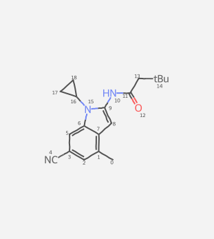 Cc1cc(C#N)cc2c1cc(NC(=O)CC(C)(C)C)n2C1CC1